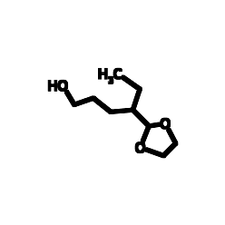 CCC(CCCO)C1OCCO1